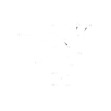 CCCCC(=O)O.C[C@]12CC[C@@H]3c4ccc(O)cc4CC[C@H]3[C@@H]1CC[C@@H]2O.O=P(O)(O)O